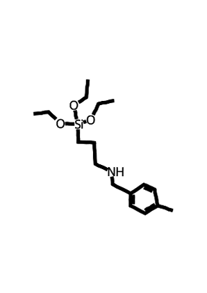 CCO[Si](CCCNCc1ccc(C)cc1)(OCC)OCC